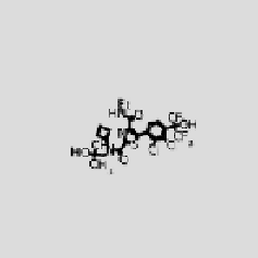 CCNC(=O)c1nc(C(=O)N(CC(C)(C)O)C2CCC2)sc1-c1ccc(C(O)(C(F)(F)F)C(F)(F)F)c(Cl)c1Cl